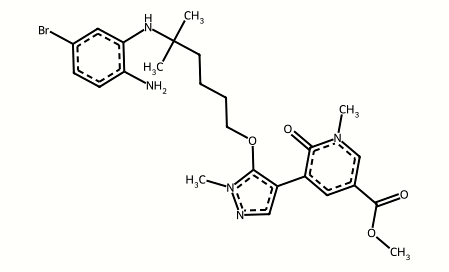 COC(=O)c1cc(-c2cnn(C)c2OCCCCC(C)(C)Nc2cc(Br)ccc2N)c(=O)n(C)c1